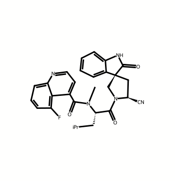 CC(C)C[C@@H](C(=O)N1C[C@]2(C[C@H]1C#N)C(=O)Nc1ccccc12)N(C)C(=O)c1ccnc2cccc(F)c12